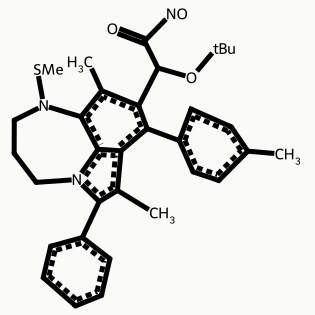 CSN1CCCn2c(-c3ccccc3)c(C)c3c(-c4ccc(C)cc4)c(C(OC(C)(C)C)C(=O)N=O)c(C)c1c32